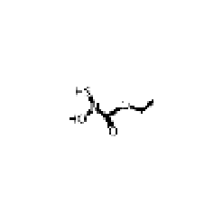 CCOC(=O)N(O)S